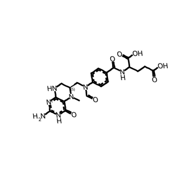 CN1c2c(nc(N)[nH]c2=O)NC[C@H]1CN(C=O)c1ccc(C(=O)NC(CCC(=O)O)C(=O)O)cc1